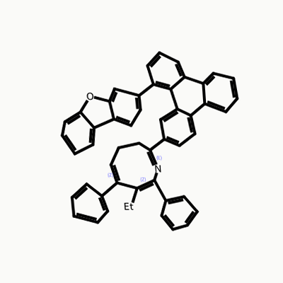 CCC1=C(c2ccccc2)/N=C(/c2ccc3c4ccccc4c4cccc(-c5ccc6c(c5)oc5ccccc56)c4c3c2)CC/C=C\1c1ccccc1